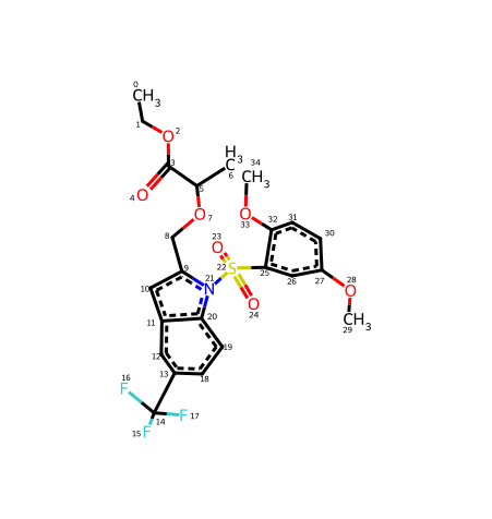 CCOC(=O)C(C)OCc1cc2cc(C(F)(F)F)ccc2n1S(=O)(=O)c1cc(OC)ccc1OC